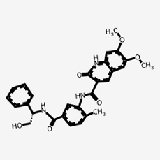 COc1cc2cc(C(=O)Nc3cc(C(=O)N[C@H](CO)c4ccccc4)ccc3C)c(=O)[nH]c2cc1OC